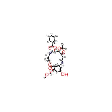 COCOc1cc(O)cc2c1C(=O)O[C@@H](C)[C@H](C)/C=C\C(OC(=O)c1ccccc1)C1OC(C)(C)OC1C/C=C/2